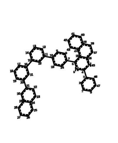 c1ccc(-c2nc(-c3ccc(-c4cccc(-c5cccc(-c6ccc7ccccc7c6)c5)c4)cc3)c3c(ccc4ccccc43)n2)cc1